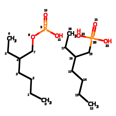 CCCCC(CC)CO[PH](=O)O.CCCCC(CC)CP(=O)(O)O